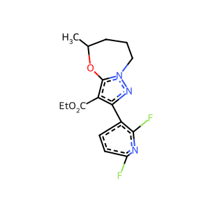 CCOC(=O)c1c(-c2ccc(F)nc2F)nn2c1OC(C)CCC2